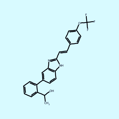 CC(O)c1ccccc1-c1ccc2[nH]c(C=Cc3ccc(OC(F)(F)F)cc3)nc2c1